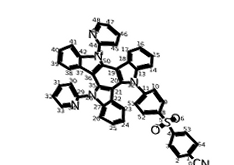 N#Cc1ccc(S(=O)(=O)c2ccc(-n3c4ccccc4c4c3c3c5ccccc5n(-c5ccccn5)c3c3c5ccccc5n(-c5ccccn5)c43)cc2)cc1